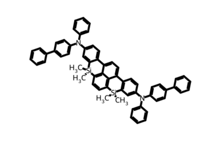 C[Si]1(C)c2cc(N(c3ccccc3)c3ccc(-c4ccccc4)cc3)ccc2-c2ccc3c4c(ccc1c24)[Si](C)(C)c1cc(N(c2ccccc2)c2ccc(-c4ccccc4)cc2)ccc1-3